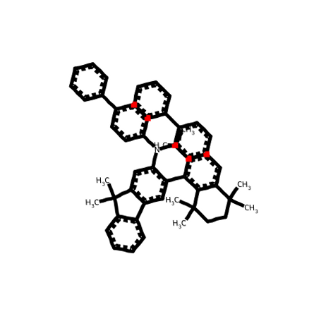 CC(C)c1ccc2c(c1-c1cc3c(cc1N(c1ccc(-c4ccccc4)cc1)c1ccccc1-c1ccccc1)C(C)(C)c1ccccc1-3)C(C)(C)CCC2(C)C